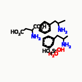 CC(N)Cc1ccccc1.CC(N)Cc1ccccc1.NC(CC(=O)O)C(=O)O.O.O=S(=O)(O)O